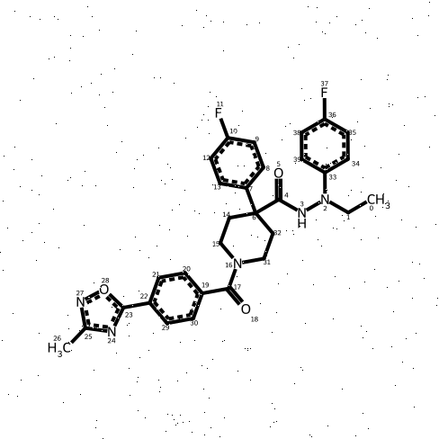 CCN(NC(=O)C1(c2ccc(F)cc2)CCN(C(=O)c2ccc(-c3nc(C)no3)cc2)CC1)c1ccc(F)cc1